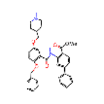 COC(=O)c1ccc(-c2ccccc2)cc1NC(=O)c1cc(OCC2CCNCC2)ccc1OCc1ccccc1